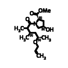 C=CCO[C@@H](C)C[C@@H](C)C(C)C(=O)N1C[C@H](O)C[C@H]1C(=O)OC